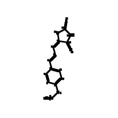 CCCCCCCOc1ccc(C=CC=C2OC(=S)NC2=O)cc1